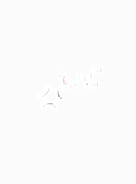 O=C(OCB(O)O)c1ccccc1